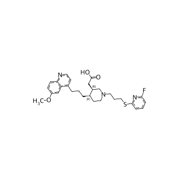 COc1ccc2nccc(CCC[C@@H]3CCN(CCCSc4cccc(F)n4)C[C@@H]3CC(=O)O)c2c1